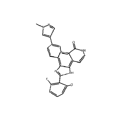 Cn1cc(-c2ccc3c(c2)c2c(=O)[nH]ccc2c2[nH]c(-c4c(F)cccc4Cl)nc32)cn1